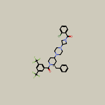 O=C(c1ccccc1Cl)N1CC(N2CCN(C3CCN(C(=O)c4cc(C(F)(F)F)cc(C(F)(F)F)c4)[C@H](Cc4ccccc4)C3)CC2)C1